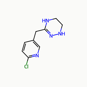 Clc1ccc(CC2=NNCCN2)cn1